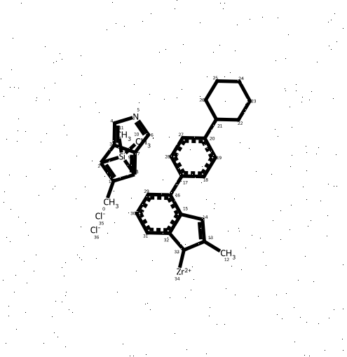 CC1=C2C3=CN=CC3=C1[Si]2(C)C.CC1=Cc2c(-c3ccc(C4CCCCC4)cc3)cccc2[CH]1[Zr+2].[Cl-].[Cl-]